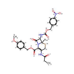 CCC(=O)NC1=C(C(=O)OCc2ccc(OC)cc2)N2C(=O)C(NC(=O)OCc3ccc([N+](=O)[O-])cc3)[C@@H]2SC1